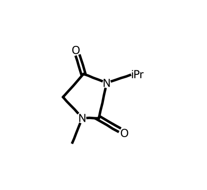 CC(C)N1C(=O)CN(C)C1=O